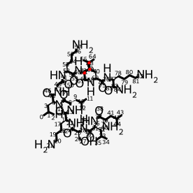 CC(C)C[C@H](NC(=O)[C@H](CC(C)C)NC(=O)[C@H](CCCCN)NC(=O)[C@H](CO)NC(=O)[C@H](CC(C)C)NC(=O)[C@@H](N)CC(C)C)C(=O)NCC(=O)N[C@@H](CCCCN)C(=O)N[C@@H](CC(C)C)C(=O)N[C@@H](CC(C)C)C(=O)N[C@@H](CCCCN)C(N)=O